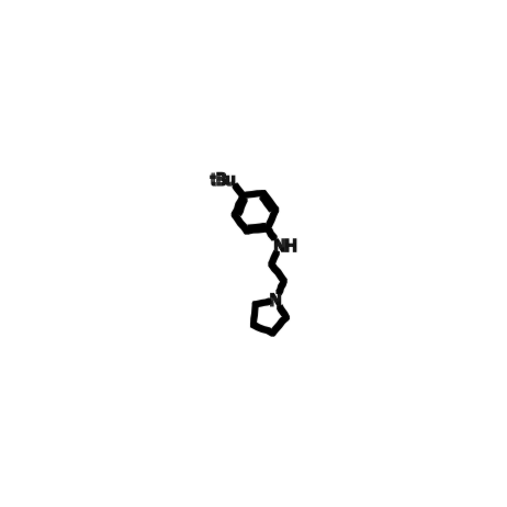 CC(C)(C)c1ccc(NCCN2CCCC2)cc1